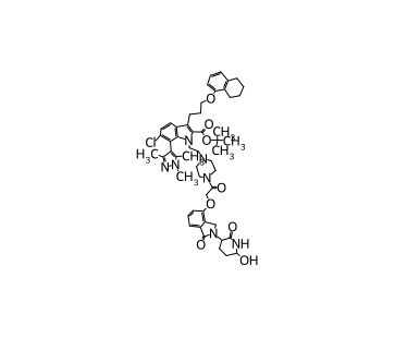 Cc1nn(C)c(C)c1-c1c(Cl)ccc2c(CCCOc3cccc4c3CCCC4)c(C(=O)OC(C)(C)C)n(CCN3CCN(C(=O)COc4cccc5c4CN(C4CCC(O)NC4=O)C5=O)CC3)c12